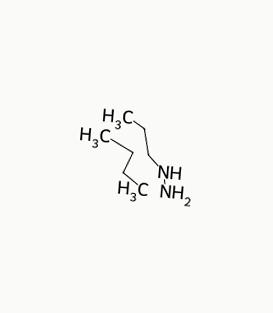 CCCC.CCCNN